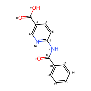 O=C(O)c1ccc(NC(=O)c2ccccc2)nc1